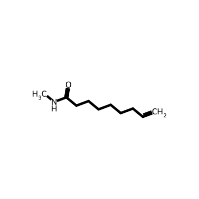 C=CCCCCCCC(=O)NC